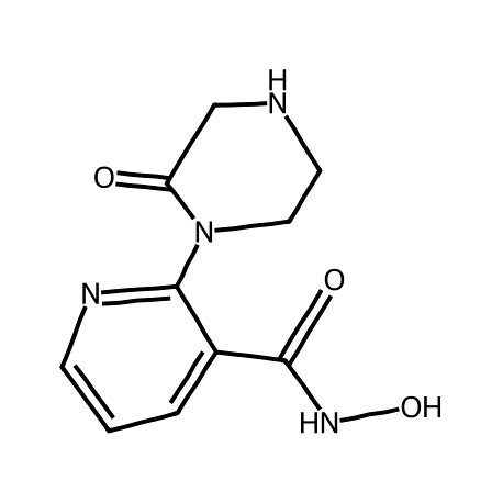 O=C(NO)c1cccnc1N1CCNCC1=O